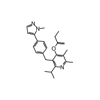 C=C(CC)Oc1c(C)c(C)nc(C(C)C)c1Cc1ccc(-c2ccnn2C)cc1